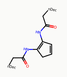 CCCCCCCCCCCC(=O)NC1=C(NC(=O)CCCCCCCCCCC)CC=C1